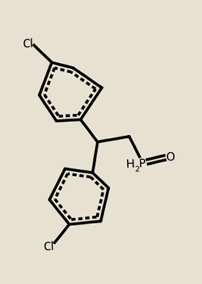 O=[PH2]CC(c1ccc(Cl)cc1)c1ccc(Cl)cc1